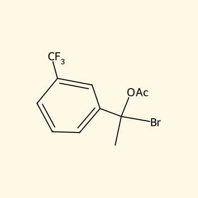 CC(=O)OC(C)(Br)c1cccc(C(F)(F)F)c1